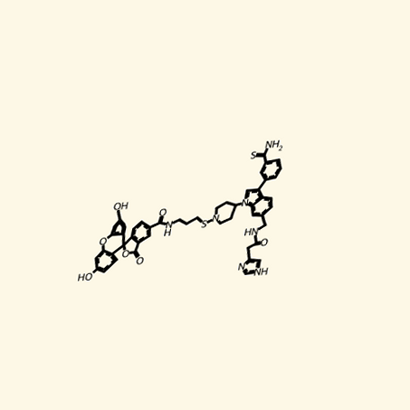 NC(=S)c1cccc(-c2cn(C3CCN(SCCCNC(=O)c4ccc5c(c4)C(=O)OC54c5ccc(O)cc5Oc5cc(O)ccc54)CC3)c3cc(CNC(=O)Cc4c[nH]cn4)ccc23)c1